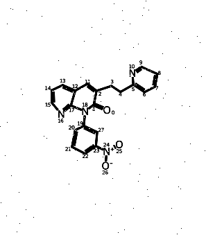 O=c1c(CCc2ccccn2)cc2cccnc2n1-c1cccc([N+](=O)[O-])c1